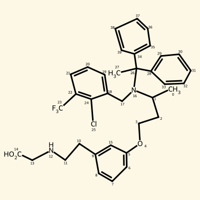 CC(CCOc1cccc(CCNCC(=O)O)c1)N(Cc1cccc(C(F)(F)F)c1Cl)C(C)(c1ccccc1)c1ccccc1